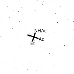 CCC(C)(NC(C)=O)C(C)=O